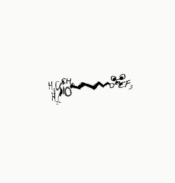 C[Si](C)(C)OCCCCCCCOS(=O)(=O)C(F)(F)F